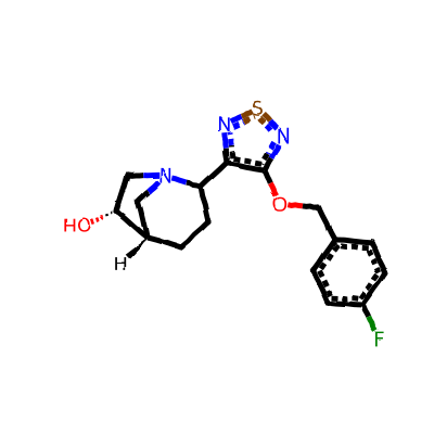 O[C@@H]1CN2C[C@@H]1CCC2c1nsnc1OCc1ccc(F)cc1